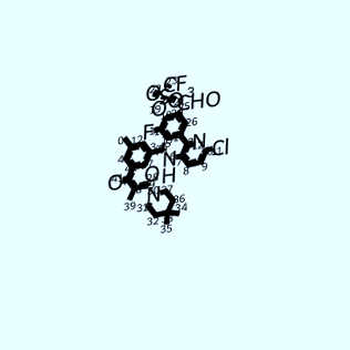 Cc1cc([C@@H](C)Nc2ccc(Cl)nc2-c2cc(F)c(OS(=O)(=O)C(F)(F)F)c(C=O)c2)c2oc(N3CCC(C)(C)CC3)c(C)c(=O)c2c1